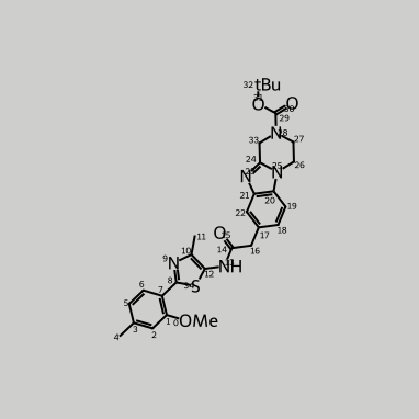 COc1cc(C)ccc1-c1nc(C)c(NC(=O)Cc2ccc3c(c2)nc2n3CCN(C(=O)OC(C)(C)C)C2)s1